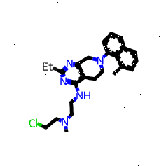 CCc1nc2c(c(NCCN(C)CCCl)n1)CCN(c1cccc3cccc(C)c13)C2